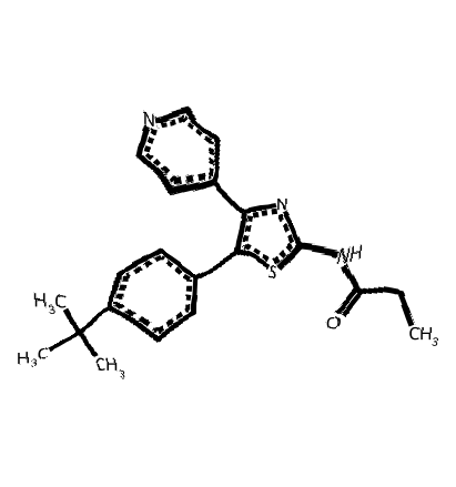 CCC(=O)Nc1nc(-c2ccncc2)c(-c2ccc(C(C)(C)C)cc2)s1